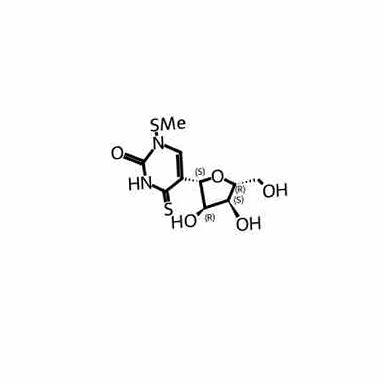 CSn1cc([C@@H]2O[C@H](CO)[C@@H](O)[C@H]2O)c(=S)[nH]c1=O